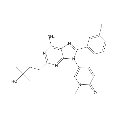 Cn1cc(-n2c(-c3cccc(F)c3)nc3c(N)nc(CCC(C)(C)O)nc32)ccc1=O